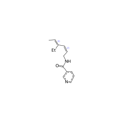 C/C=C(/C=C\CNC(=O)c1cccnc1)CC